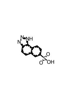 O=S(=O)(O)c1ccc2c(ccc3nn[nH]c32)c1